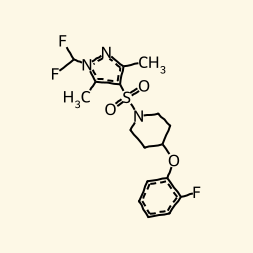 Cc1nn(C(F)F)c(C)c1S(=O)(=O)N1CCC(Oc2ccccc2F)CC1